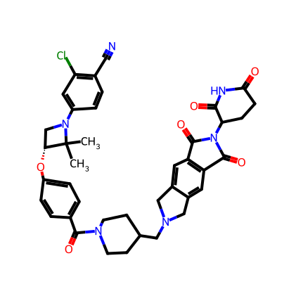 CC1(C)[C@H](Oc2ccc(C(=O)N3CCC(CN4Cc5cc6c(cc5C4)C(=O)N(C4CCC(=O)NC4=O)C6=O)CC3)cc2)CN1c1ccc(C#N)c(Cl)c1